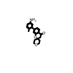 Cc1ccc(N)cc1-c1ccc2c(c1)OC1(CCOCC1)CC2=O